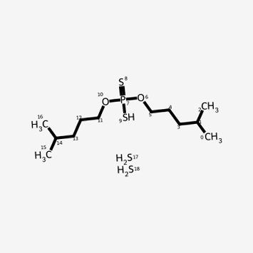 CC(C)CCCOP(=S)(S)OCCCC(C)C.S.S